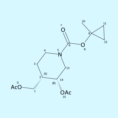 CC(=O)OC[C@@H]1CCN(C(=O)OC2(C)CC2)C[C@@H]1OC(C)=O